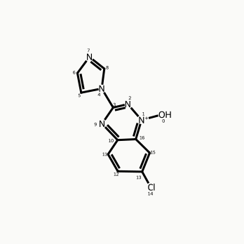 O[n+]1nc(-n2ccnc2)nc2ccc(Cl)cc21